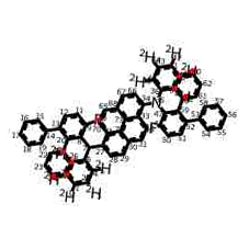 [2H]c1c([2H])c([2H])c(C(c2c(F)ccc(-c3ccccc3)c2-c2ccccc2)c2ccc3ccc4c(N(c5c([2H])c([2H])c([2H])c([2H])c5[2H])c5c(F)ccc(-c6ccccc6)c5-c5ccccc5)ccc5ccc2c3c54)c([2H])c1[2H]